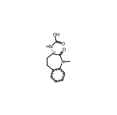 CN1C(=O)[C@@H](NC(=O)O)CCc2ccccc21